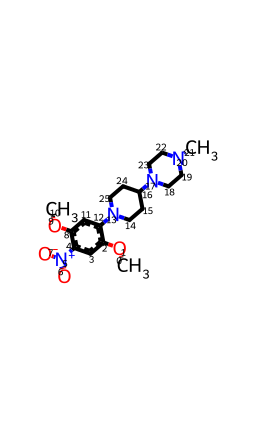 COc1cc([N+](=O)[O-])c(OC)cc1N1CCC(N2CCN(C)CC2)CC1